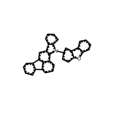 c1ccc2c(c1)-c1cccc3c1c-2cc1c2ccccc2n(-c2ccc4oc5ccccc5c4c2)c31